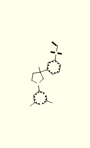 C=CS(=O)(=O)c1cccc(C2(O)CCN(c3cc(NC)nc(N)n3)C2)c1